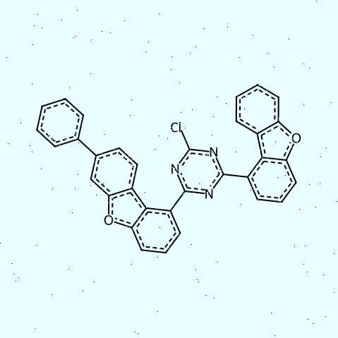 Clc1nc(-c2cccc3oc4ccccc4c23)nc(-c2cccc3oc4cc(-c5ccccc5)ccc4c23)n1